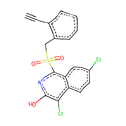 C#Cc1ccccc1CS(=O)(=O)c1nc(O)c(Cl)c2ccc(Cl)cc12